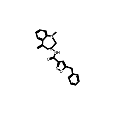 C=C1C[C@H](NC(=O)c2cc(Cc3ccccc3)on2)CN(C)c2ccccc21